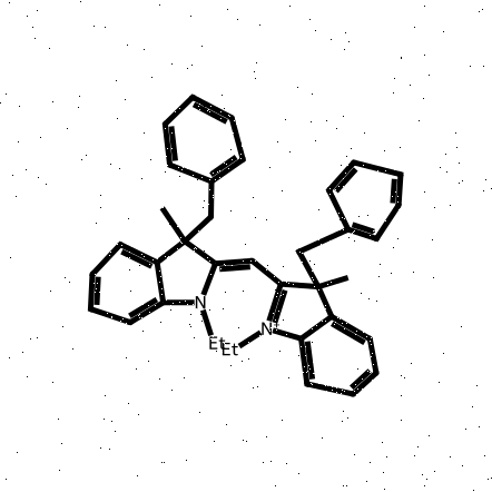 CCN1C(=CC2=[N+](CC)c3ccccc3C2(C)Cc2ccccc2)C(C)(Cc2ccccc2)c2ccccc21